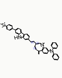 C=C1\C=C/C(/C=C/c2ccc3c(c2)[nH]c2cc(-c4ccc([Si](C)(C)C)cc4)ccc23)=C\N(C)c2cc(N(c3ccccc3)c3ccccc3)ccc21